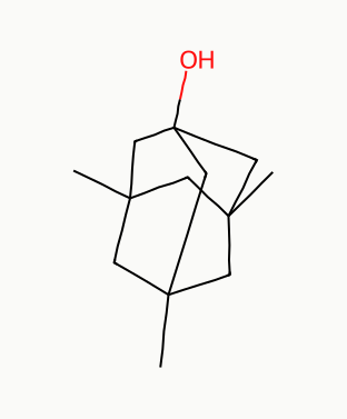 CC12CC3(C)CC(C)(C1)CC(O)(C2)C3